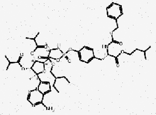 CCC(CC)COC(=O)[C@H](C)NP(=O)(OC[C@H]1O[C@@](C)(c2ccc3c(N)ncnn23)[C@H](OC(=O)C(C)C)[C@@H]1OC(=O)C(C)C)Oc1ccc(C[C@H](NC(=O)OCc2ccccc2)C(=O)OCCC(C)C)cc1